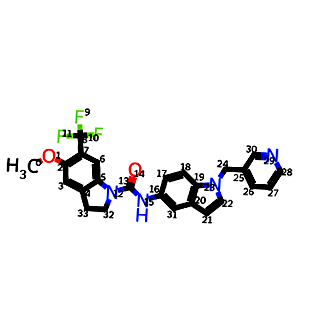 COc1cc2c(cc1C(F)(F)F)N(C(=O)Nc1ccc3c(ccn3Cc3cccnc3)c1)CC2